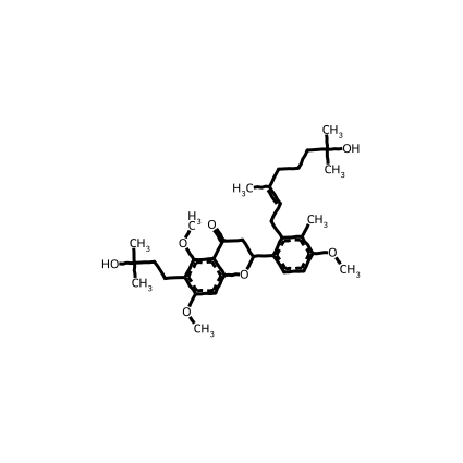 COc1ccc(C2CC(=O)c3c(cc(OC)c(CCC(C)(C)O)c3OC)O2)c(C/C=C(\C)CCCC(C)(C)O)c1C